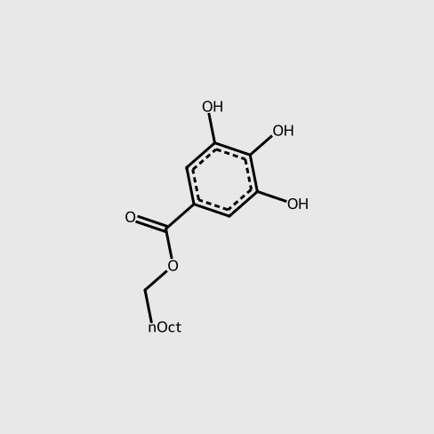 CCCCCCCCCOC(=O)c1cc(O)c(O)c(O)c1